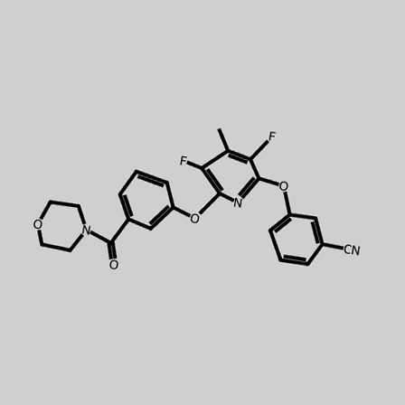 Cc1c(F)c(Oc2cccc(C#N)c2)nc(Oc2cccc(C(=O)N3CCOCC3)c2)c1F